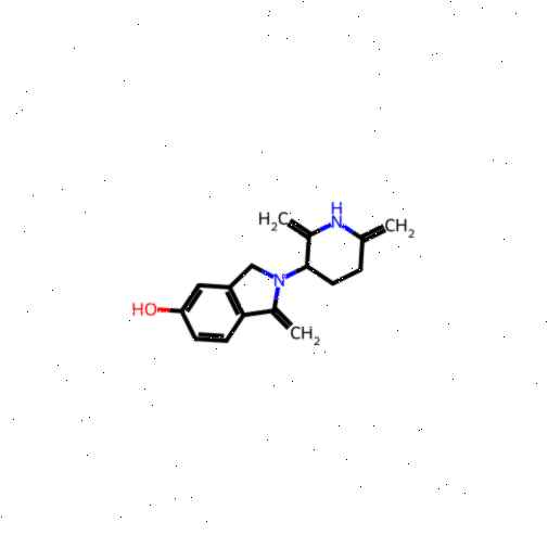 C=C1CCC(N2Cc3cc(O)ccc3C2=C)C(=C)N1